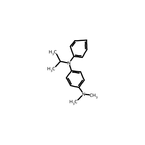 CC(C)N(c1ccccc1)c1ccc(N(C)C)cc1